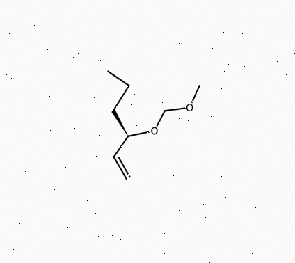 C=C[C@@H](CCC)OCOC